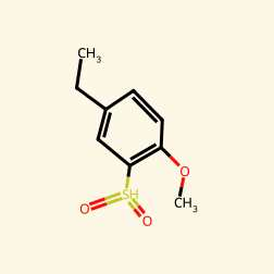 CCc1ccc(OC)c([SH](=O)=O)c1